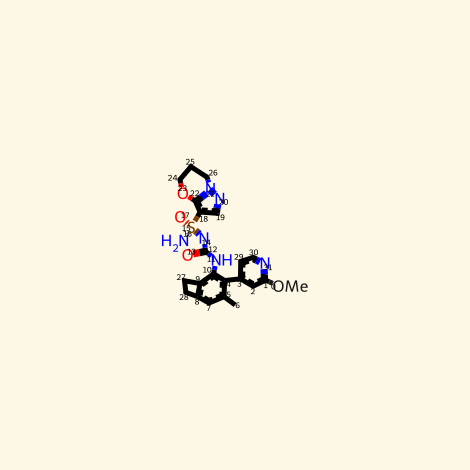 COc1cc(-c2c(C)cc3c(c2NC(=O)N=S(N)(=O)c2cnn4c2OCCC4)CC3)ccn1